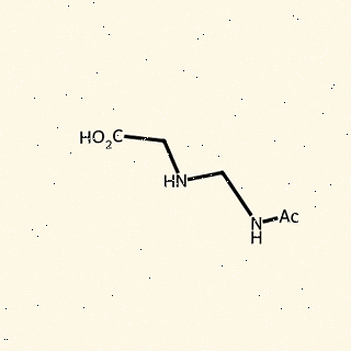 CC(=O)NCNCC(=O)O